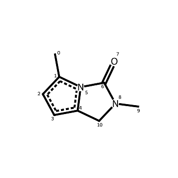 Cc1ccc2n1C(=O)N(C)C2